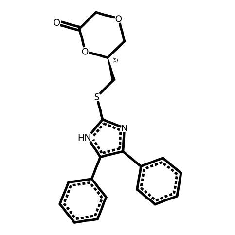 O=C1COC[C@@H](CSc2nc(-c3ccccc3)c(-c3ccccc3)[nH]2)O1